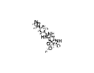 CCOC(=O)C1(C)C(=O)Nc2cc3c(cc21)NC(c1ccc(-n2ccnc2)cc1)N3